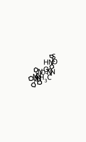 CCc1nc2ccc(NC(=O)c3cccs3)cc2c(=O)n1CC1CCN(c2ccccc2-c2nnn(C(c3ccccc3)(c3ccccc3)c3ccccc3)n2)CC1